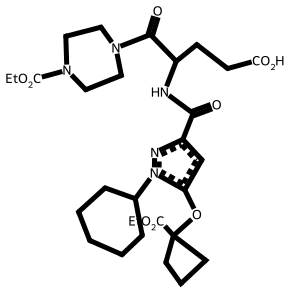 CCOC(=O)N1CCN(C(=O)C(CCC(=O)O)NC(=O)c2cc(OC3(C(=O)OCC)CCC3)n(C3CCCCC3)n2)CC1